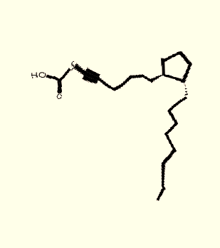 CCCCCCCC[C@H]1CCC[C@@H]1CCCC#CSC(=O)O